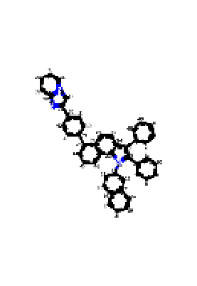 c1ccc(-c2c(-c3ccccc3)n(-c3ccc4ccccc4c3)c3c2ccc2c(-c4ccc(-c5cn6ccccc6n5)cc4)cccc23)cc1